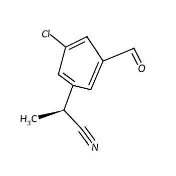 C[C@H](C#N)c1cc(Cl)cc(C=O)c1